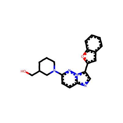 OCC1CCCN(c2ccc3ncc(-c4cc5ccccc5o4)n3n2)C1